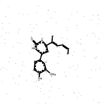 C/C=C\C=C(/C)c1cc(-c2ccc(O)c(OC)c2)[nH]c(=O)n1